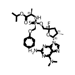 CC(C)OC(=O)[C@@H](C)N[P@](=S)(COc1ccccc1)OC[C@]1(F)C[C@H](C)[C@H](n2cnc3c(N(C)C)nc(N)nc32)O1